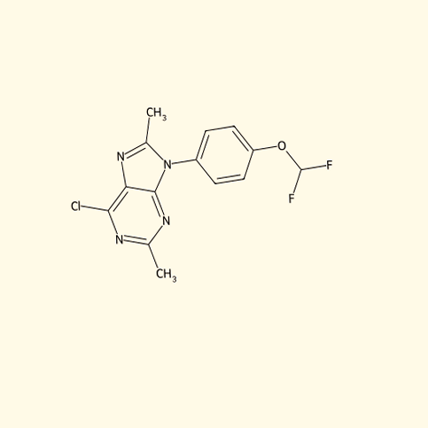 Cc1nc(Cl)c2nc(C)n(-c3ccc(OC(F)F)cc3)c2n1